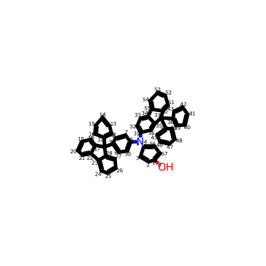 Oc1ccc(N(c2ccc(C3(c4ccccc4)c4ccccc4-c4ccccc43)cc2)c2ccc3c(c2)C(c2ccccc2)(c2ccccc2)c2ccccc2-3)cc1